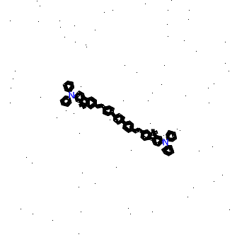 CC1(C)c2cc(/C=C/c3ccc(-c4ccc(-c5ccc(/C=C/c6ccc7c(c6)C(C)(C)c6cc(N(c8ccccc8)c8ccccc8)ccc6-7)cc5)cc4)cc3)ccc2-c2ccc(N(c3ccccc3)c3ccccc3)cc21